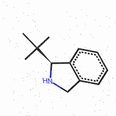 CC(C)(C)[C@@H]1NCc2ccccc21